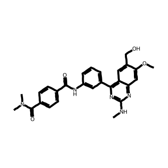 CNc1nc(-c2cccc(NC(=O)c3ccc(C(=O)N(C)C)cc3)c2)c2cc(CO)c(OC)cc2n1